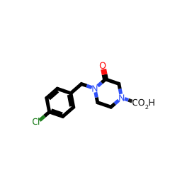 O=C(O)N1CCN(Cc2ccc(Cl)cc2)C(=O)C1